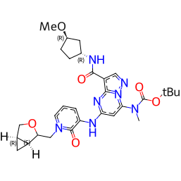 CO[C@@H]1CC[C@@H](NC(=O)c2cnn3c(N(C)C(=O)OC(C)(C)C)cc(Nc4cccn(CC5OC[C@@H]6C[C@H]56)c4=O)nc23)C1